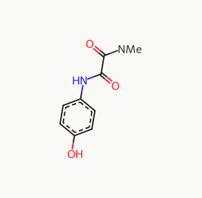 CNC(=O)C(=O)Nc1ccc(O)cc1